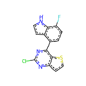 Fc1ccc(-c2nc(Cl)nc3ccsc23)c2cc[nH]c12